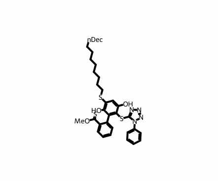 CCCCCCCCCCCCCCCCCCSc1cc(O)c(Sc2nnnn2-c2ccccc2)c(-c2ccccc2C(=S)OC)c1O